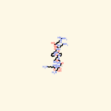 C[C@H](NC(=O)[C@@H](NC(=O)[C@@H](N)CCCCN)[C@@H](O)CN)C(=O)NCC(=O)/N=C(\CCCN)C(=O)N1CCC[C@H]1C(=O)N[C@@H](Cc1ccccn1)C(=O)N[C@@H](CCCCN)C(=O)N/C(=C\CCNC(=N)N)C(=O)O